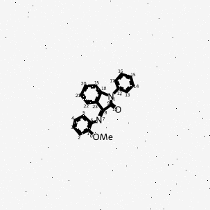 COc1ccccc1N=C1C(=O)N(c2ccccc2)c2ccccc21